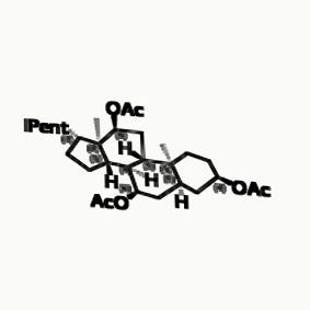 CCCC(C)[C@H]1CC[C@H]2[C@@H]3[C@H](OC(C)=O)C[C@@H]4C[C@H](OC(C)=O)CC[C@]4(C)[C@H]3C[C@H](OC(C)=O)[C@]12C